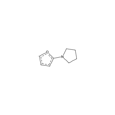 [c]1ccc(N2CCCC2)o1